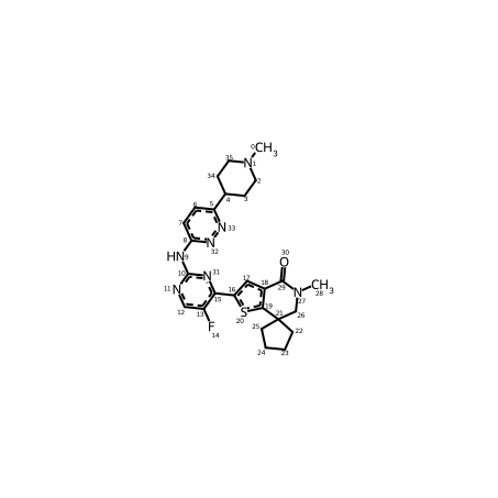 CN1CCC(c2ccc(Nc3ncc(F)c(-c4cc5c(s4)C4(CCCC4)CN(C)C5=O)n3)nn2)CC1